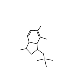 CC1=C(C)C2C(CS(C)(C)C)CC(C)C2C=C1